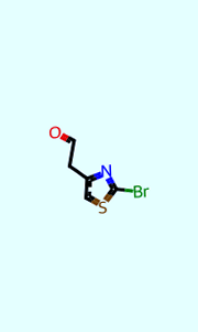 O=CCc1csc(Br)n1